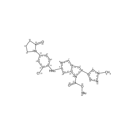 Cn1cc(-c2cc3cnc(Nc4ccc(N5CCCC5=O)cc4Cl)cc3n2C(=O)OC(C)(C)C)cn1